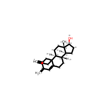 C#CCC12CCC(=C)C=C1CC[C@@H]1[C@@H]2CC[C@]2(C)[C@@H](O)CC[C@@H]12